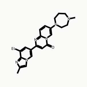 CCc1cc(-c2cc(=O)n3cc(N4CCCN(C)CC4)ccc3n2)cn2cc(C)nc12